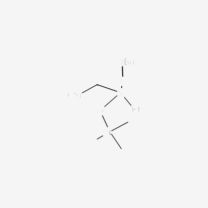 CC[Si](CC(C)(C)C)(CC(C)(C)C)O[Si](C)(C)C